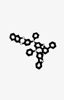 c1ccc(-c2cccc3c2sc2cc(N(c4ccccc4)c4ccc5c(c4)Oc4cc6ccccc6cc4O5)cc(N(c4ccccc4)c4ccc5sc6ccccc6c5c4)c23)cc1